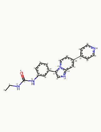 CCNC(=O)Nc1cccc(-c2cnc3cc(-c4ccncc4)ccn23)c1